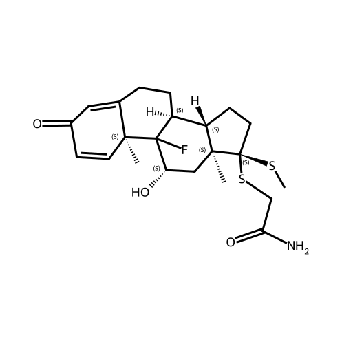 CS[C@]1(SCC(N)=O)CC[C@H]2[C@@H]3CCC4=CC(=O)C=C[C@]4(C)C3(F)[C@@H](O)C[C@@]21C